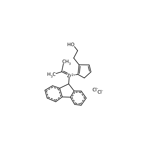 C[C](C)=[Zr+2]([C]1=C(CCO)C=CC1)[CH]1c2ccccc2-c2ccccc21.[Cl-].[Cl-]